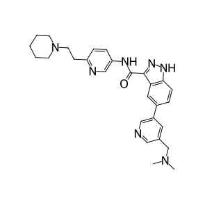 CN(C)Cc1cncc(-c2ccc3[nH]nc(C(=O)Nc4ccc(CCN5CCCCC5)nc4)c3c2)c1